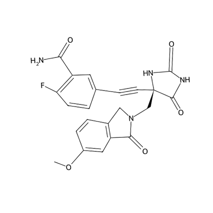 COc1ccc2c(c1)C(=O)N(C[C@@]1(C#Cc3ccc(F)c(C(N)=O)c3)NC(=O)NC1=O)C2